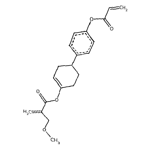 C=CC(=O)Oc1ccc(C2CC=C(OC(=O)C(=C)COC)CC2)cc1